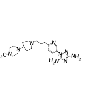 CN1CCN(C2CCN(CCCc3ccc(-n4nc(N)nc4N)cn3)CC2)CC1